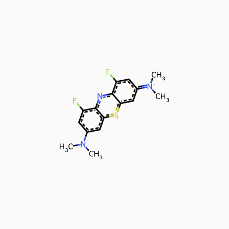 CN(C)c1cc(F)c2nc3c(F)cc(=[N+](C)C)cc-3sc2c1